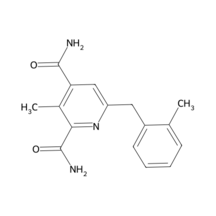 Cc1ccccc1Cc1cc(C(N)=O)c(C)c(C(N)=O)n1